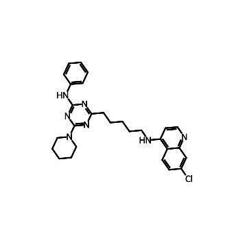 Clc1ccc2c(NCCCCCc3nc(Nc4ccccc4)nc(N4CCCCC4)n3)ccnc2c1